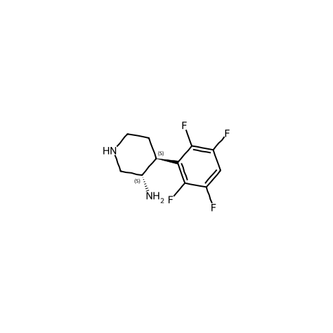 N[C@@H]1CNCC[C@H]1c1c(F)c(F)cc(F)c1F